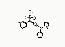 CS(=O)(=O)C(=C1CN(C(c2cccs2)c2cccs2)C1)c1cc(F)cc(F)c1